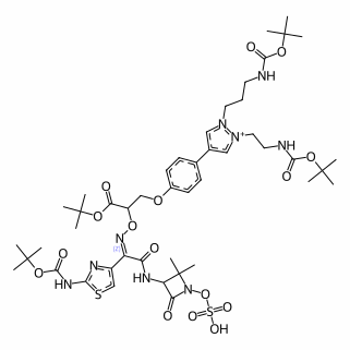 CC(C)(C)OC(=O)NCCCn1cc(-c2ccc(OCC(O/N=C(\C(=O)NC3C(=O)N(OS(=O)(=O)O)C3(C)C)c3csc(NC(=O)OC(C)(C)C)n3)C(=O)OC(C)(C)C)cc2)c[n+]1CCNC(=O)OC(C)(C)C